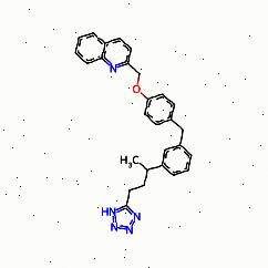 CC(CCc1nnn[nH]1)c1cccc(Cc2ccc(OCc3ccc4ccccc4n3)cc2)c1